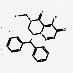 CC(C)CN1C[C@@H](C(c2ccccc2)c2ccccc2)n2ncc(=O)c(O)c2C1=O